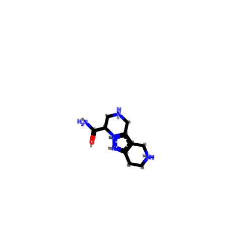 NC(=O)C1CNCc2c3c(nn21)CCNC3